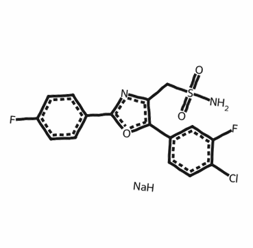 NS(=O)(=O)Cc1nc(-c2ccc(F)cc2)oc1-c1ccc(Cl)c(F)c1.[NaH]